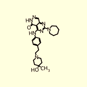 CC1(O)CCN(CCc2ccc(Nc3nc(N4CCCCCC4)nc4cn[nH]c(=O)c34)cc2)CC1